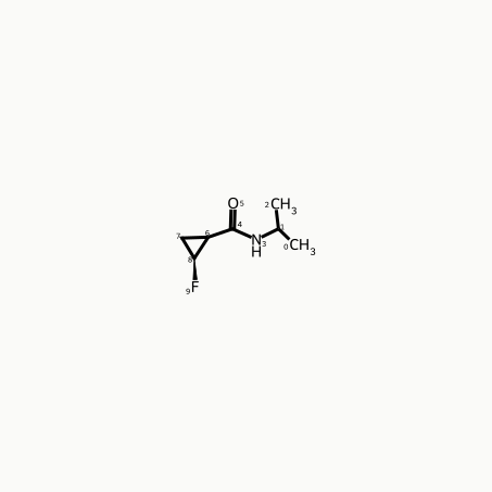 CC(C)NC(=O)C1C[C@@H]1F